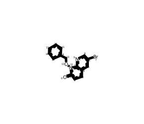 O=c1ccc2cc(Br)cnc2n1OCc1ccccc1